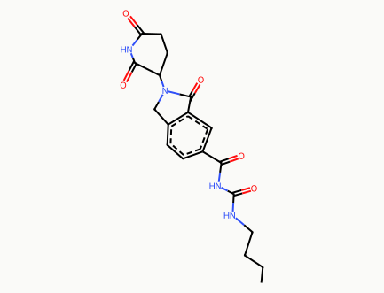 CCCCNC(=O)NC(=O)c1ccc2c(c1)C(=O)N(C1CCC(=O)NC1=O)C2